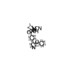 N#CN1CC2CCC1[C@@H]2NC(=O)c1ccc(-c2ccncc2Oc2ccccc2)cc1